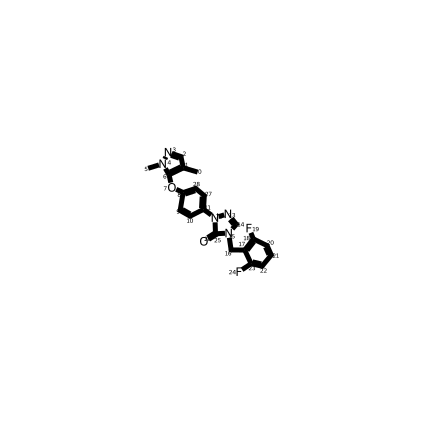 Cc1cnn(C)c1Oc1ccc(-n2ncn(Cc3c(F)cccc3F)c2=O)cc1